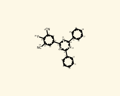 N#Cc1cc(-c2nc(-c3ccccc3)nc(-c3ccccc3)n2)cc(C#N)c1F